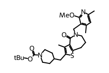 COc1nc(C)cc(C)c1CN1CCCc2sc(CC3CCN(C(=O)OC(C)(C)C)CC3)c(C)c2C1=O